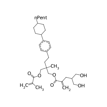 C=C(C)C(=O)OCC(C)(CCc1ccc(C2CCC(CCCCC)CC2)cc1)COC(=O)C(=C)CC(CO)CO